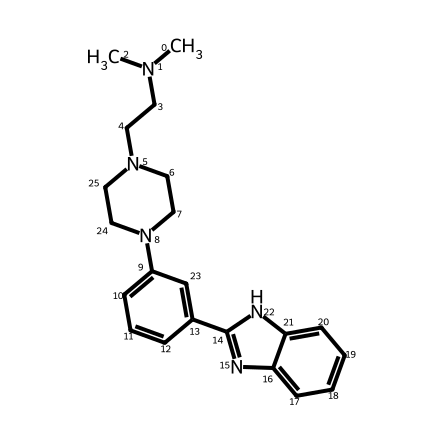 CN(C)CCN1CCN(c2cccc(-c3nc4ccccc4[nH]3)c2)CC1